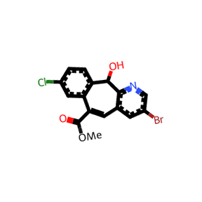 COC(=O)C1=Cc2cc(Br)cnc2C(O)c2ccc(Cl)cc21